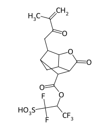 C=C(C)C(=O)CC1C2CC3C1OC(=O)C3C2C(=O)OC(C(F)(F)F)C(F)(F)S(=O)(=O)O